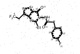 CCc1nc2c(CC(F)(F)F)nsc2c(=O)n1NC(=O)Cc1ccc(F)cc1